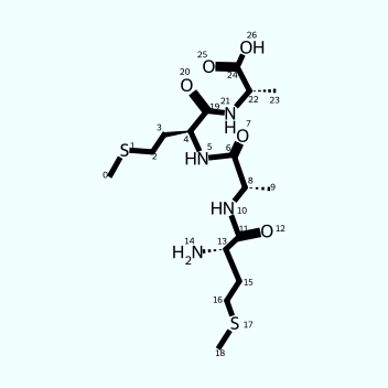 CSCC[C@H](NC(=O)[C@H](C)NC(=O)[C@@H](N)CCSC)C(=O)N[C@@H](C)C(=O)O